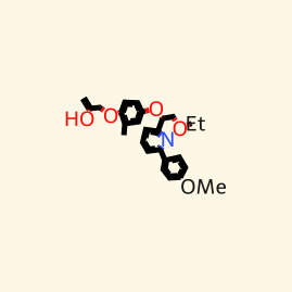 C=C(O)COc1ccc(OC(COCC)c2cccc(-c3ccc(OC)cc3)n2)cc1C